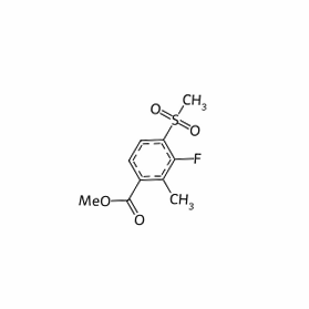 COC(=O)c1ccc(S(C)(=O)=O)c(F)c1C